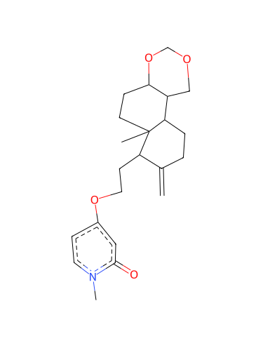 C=C1CCC2C3COCOC3CCC2(C)C1CCOc1ccn(C)c(=O)c1